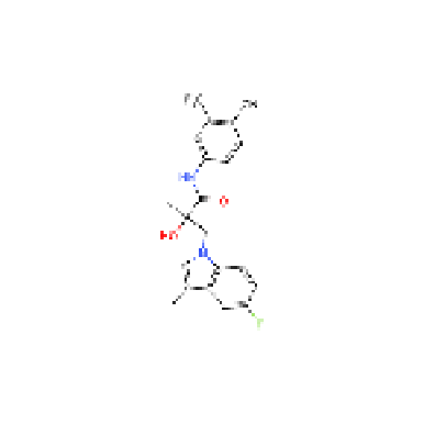 Cc1cn(CC(C)(O)C(=O)Nc2ccc(C#N)c(C(F)(F)F)c2)c2ccc(F)cc12